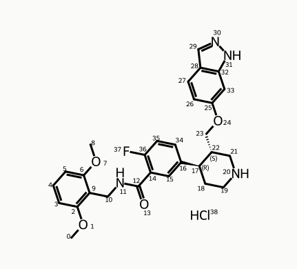 COc1cccc(OC)c1CNC(=O)c1cc([C@@H]2CCNC[C@H]2COc2ccc3cn[nH]c3c2)ccc1F.Cl